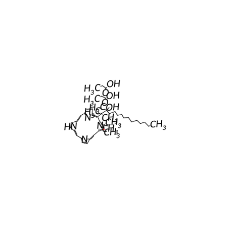 CCC(=O)O.CCC(=O)O.CCCCCCCCCCCCC(C)(O)C(C)(C)c1c2nc(cc3ccc(cc4nc(cc5c(C)c(C)c1n5C)C=C4)[nH]3)C=C2